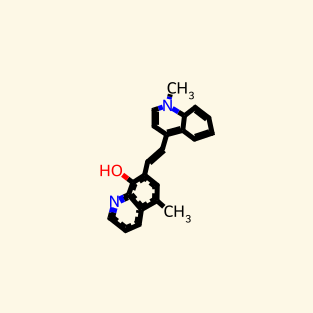 Cc1cc(C=CC2=C3C=CC=CC3N(C)C=C2)c(O)c2ncccc12